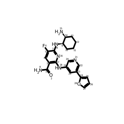 NC(=O)c1cc(F)c(N[C@@H]2CCCC[C@@H]2N)nc1Nc1cncc(-c2ccco2)c1